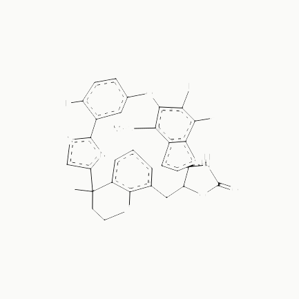 CSc1c(Oc2ccc(F)c(-c3nc(C4(C)CCOc5c(CC6CNC(=O)O6)cccc54)c[nH]3)c2)c(F)c(F)c2[nH]ccc12